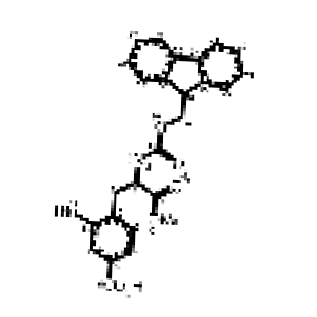 COC(=O)C(Cc1ccc(C(=O)O)cc1C(C)(C)C)NC(=O)OCC1c2ccccc2-c2ccccc21